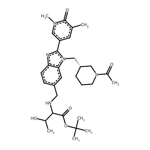 CC(=O)N1CCC[C@H](Cn2c(-c3cc(C)c(=O)n(C)c3)nc3ccc(CNC(C(=O)OC(C)(C)C)C(C)O)cc32)C1